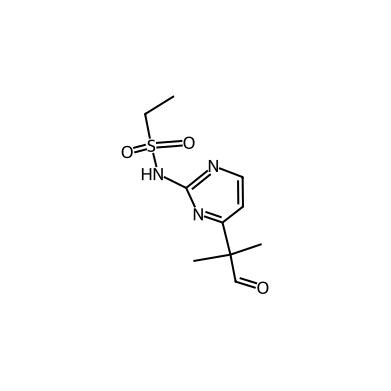 CCS(=O)(=O)Nc1nccc(C(C)(C)C=O)n1